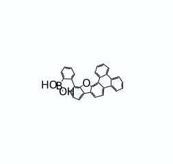 OB(O)c1ccccc1-c1cccc2c1oc1c2ccc2c3ccccc3c3ccccc3c21